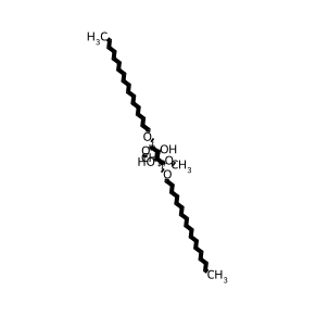 CCCCCCCCCCCCCCCCCCOC[C@@H](OC)[C@@H](O)[C@H](O)[C@@H](COCCCCCCCCCCCCCCCCCC)OC